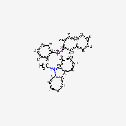 Cn1c2ccccc2c2ccc3c4c5ccccc5ccc4p(-c4ccccc4)c3c21